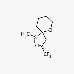 C[SiH](C)C1(CCC(F)(F)F)CCCCO1